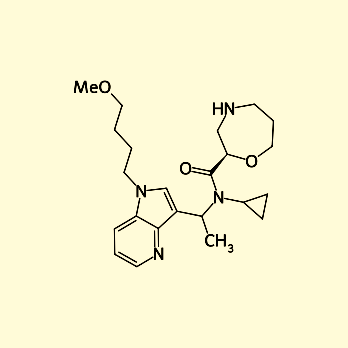 COCCCCn1cc(C(C)N(C(=O)[C@H]2CNCCCO2)C2CC2)c2ncccc21